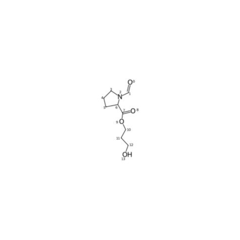 O=CN1CCCC1C(=O)OCCCO